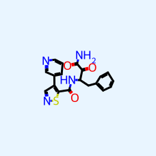 NC(=O)C(=O)C(Cc1ccccc1)NC(=O)c1sncc1-c1cccnc1